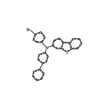 Brc1ccc(N(c2ccc(-c3ccccc3)cc2)c2ccc3c(c2)sc2ccccc23)cc1